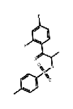 Cc1ccc(S(=O)(=O)OC(C)C(=O)c2ccc(F)cc2F)cc1